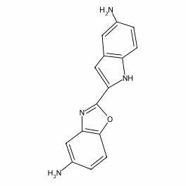 Nc1ccc2[nH]c(-c3nc4cc(N)ccc4o3)cc2c1